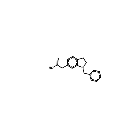 O=C(O)Cc1ccc2c(c1)N(Cc1ccccc1)CC2